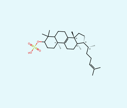 CC(C)=CCC[C@@H](C)[C@H]1CC[C@@]2(C)C3=C(CC[C@]12C)[C@@]1(C)CCC(OS(=O)(=O)O)C(C)(C)C1CC3